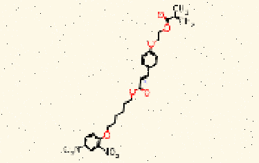 C=C(C)C(=O)OCCOc1ccc(/C=C/C(=O)OCCCCCCOc2ccc([N+](=O)[O-])cc2[N+](=O)[O-])cc1